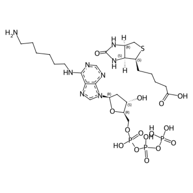 NCCCCCCNc1ncnc2c1ncn2[C@H]1C[C@H](O)[C@@H](COP(=O)(O)OP(=O)(O)OP(=O)(O)O)O1.O=C(O)CCCC[C@@H]1SC[C@@H]2NC(=O)N[C@@H]21